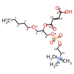 CCCCCOCC(COP(=O)([O-])OCC[N+](C)(C)C)OC(=O)C=CC(=O)O